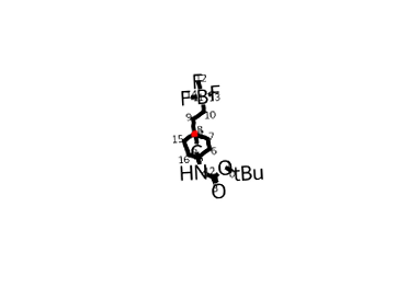 CC(C)(C)OC(=O)NC12CCC(CC[B-](F)(F)F)(CC1)CC2